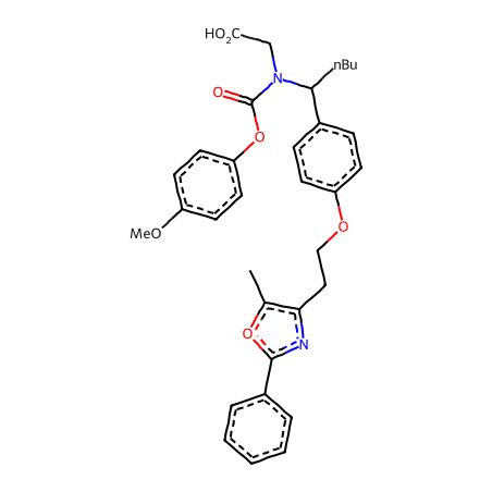 CCCCC(c1ccc(OCCc2nc(-c3ccccc3)oc2C)cc1)N(CC(=O)O)C(=O)Oc1ccc(OC)cc1